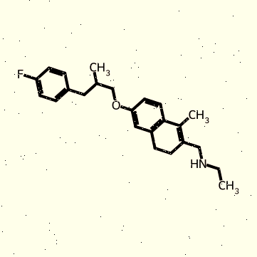 CCNCC1=C(C)c2ccc(OCC(C)Cc3ccc(F)cc3)cc2CC1